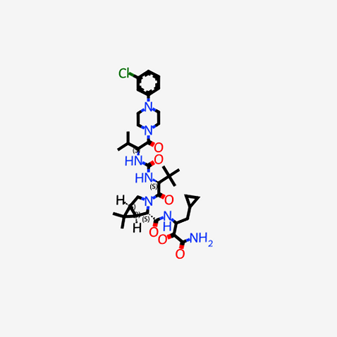 CC(C)[C@H](NC(=O)N[C@H](C(=O)N1C[C@H]2[C@@H]([C@H]1C(=O)NC(CC1CC1)C(=O)C(N)=O)C2(C)C)C(C)(C)C)C(=O)N1CCN(c2cccc(Cl)c2)CC1